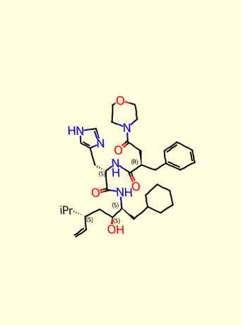 C=C[C@@H](C[C@H](O)[C@H](CC1CCCCC1)NC(=O)[C@H](Cc1c[nH]cn1)NC(=O)[C@@H](CC(=O)N1CCOCC1)Cc1ccccc1)C(C)C